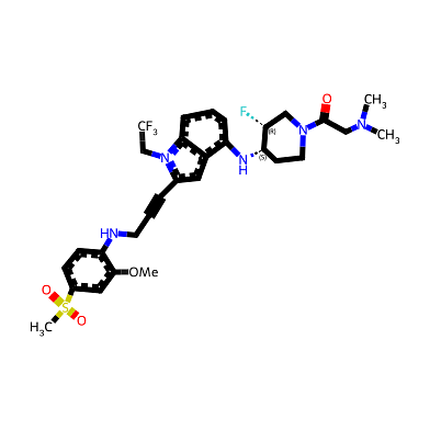 COc1cc(S(C)(=O)=O)ccc1NCC#Cc1cc2c(N[C@H]3CCN(C(=O)CN(C)C)C[C@H]3F)cccc2n1CC(F)(F)F